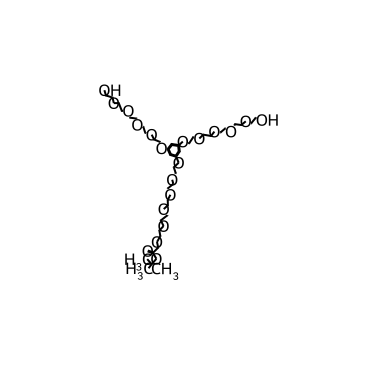 CC(C)(C)OC(=O)COCCOCCOCCOCCOCCOc1cc(OCCOCCOCCOCCOCCO)cc(OCCOCCOCCOCCOCCO)c1